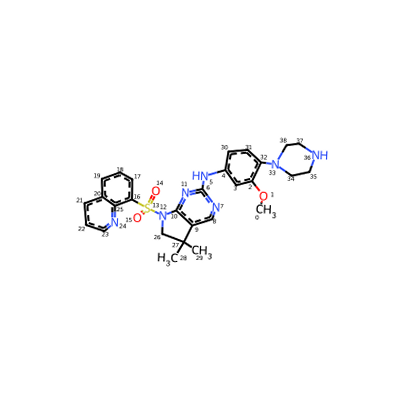 COc1cc(Nc2ncc3c(n2)N(S(=O)(=O)c2cccc4cccnc24)CC3(C)C)ccc1N1CCNCC1